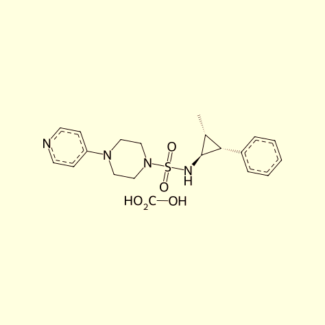 C[C@H]1[C@H](NS(=O)(=O)N2CCN(c3ccncc3)CC2)[C@H]1c1ccccc1.O=C(O)O